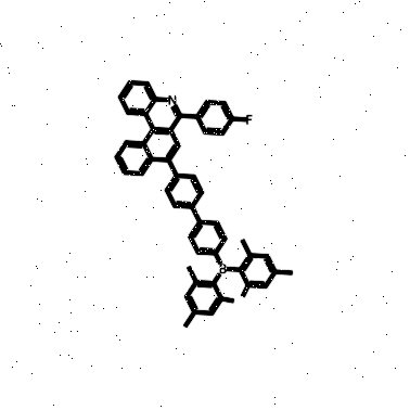 Cc1cc(C)c(B(c2ccc(-c3ccc(-c4cc5c(-c6ccc(F)cc6)nc6ccccc6c5c5ccccc45)cc3)cc2)c2c(C)cc(C)cc2C)c(C)c1